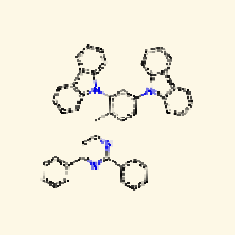 c1ccc(-c2cc(Cc3ccc(-n4c5ccccc5c5ccccc54)cc3-n3c4ccccc4c4ccccc43)nc(-c3ccccc3)n2)cc1